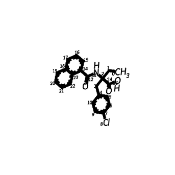 CCC(Cc1ccc(Cl)cc1)(NC(=O)c1cccc2ccccc12)C(=O)O